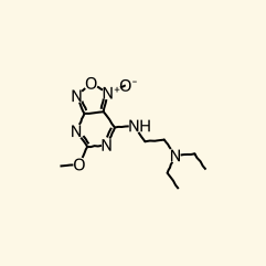 CCN(CC)CCNc1nc(OC)nc2no[n+]([O-])c12